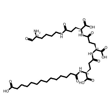 N[C@H]([C]=O)CCCCNC(=O)CC[C@H](NC(=O)CC[C@H](NC(=O)CC[C@H](NC(=O)CCCCCCCCCCCCC(=O)O)C(=O)O)C(=O)O)C(=O)O